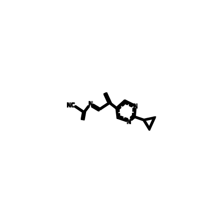 C=C(C#N)/N=C/C(=C)c1cnc(C2CC2)nc1